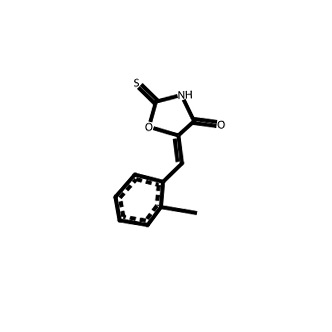 Cc1ccccc1C=C1OC(=S)NC1=O